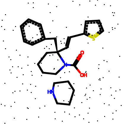 C1CCNCC1.O=C(O)N1CCCC[C@@]1(/C=C/c1cccs1)Cc1ccccc1